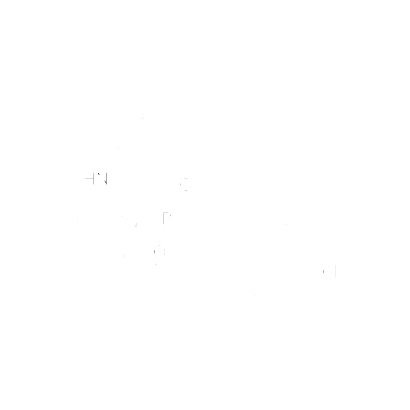 CC1(C)COP(=O)(c2ccc(Cl)cc2)C(C)(C)N1